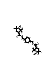 CN1C(C)(C)CC(C(=O)OCC2CCC(COC(=O)C3CC(C)(C)N(C)C3(C)C)CC2)C1(C)C